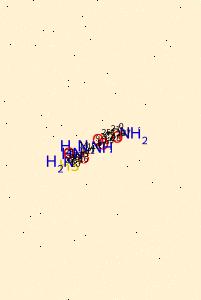 C[C@@H](Cc1ccc(OC(=O)NCC[C@H](N)C(=O)N[C@@H](CS)C(N)=O)cc1)C(N)=O